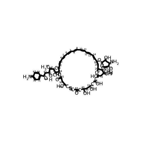 CC1\C=C/C=C\C=C/C=C\C=C/C=C\C=C/C(O[C@@H]2O[C@H](C)[C@@H](O)[C@H](N)[C@@H]2O)CC2OC(O)(CC(O)CC(O)CC(O)CC(=O)CCCC(O)CC(=O)OC1C(C)CC(C)C(O)CC(=O)c1ccc(N)cc1)CC(O)C2C